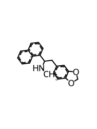 CNC(Cc1ccc2c(c1)OCO2)c1cccc2ccccc12